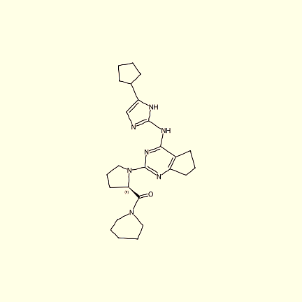 O=C([C@H]1CCCN1c1nc2c(c(Nc3ncc(C4CCCC4)[nH]3)n1)CCC2)N1CCCCC1